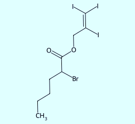 CCCCC(Br)C(=O)OCC(I)=C(I)I